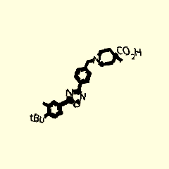 Cc1cc(-c2nc(-c3ccc(CN4CCC(C)(C(=O)O)CC4)cc3)no2)ccc1C(C)(C)C